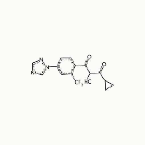 N#CC(C(=O)c1ccc(-n2cncn2)cc1C(F)(F)F)C(=O)C1CC1